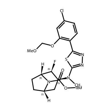 COCOc1cc(Cl)ccc1-c1nnc(N(C)[C@H]2C[C@@H]3CC[C@H]([C@H]2F)N3C(=O)OC(C)(C)C)s1